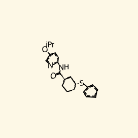 CC(C)Oc1ccc(NC(=O)[C@@H]2CCC[C@@H](Sc3ccccc3)C2)nc1